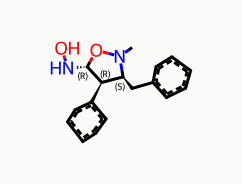 CN1O[C@@H](NO)[C@H](c2ccccc2)[C@@H]1Cc1ccccc1